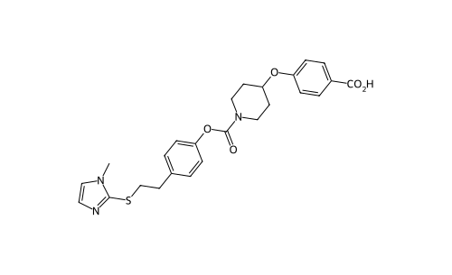 Cn1ccnc1SCCc1ccc(OC(=O)N2CCC(Oc3ccc(C(=O)O)cc3)CC2)cc1